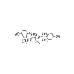 CC(C)(/C=C/C(C)(C)c1ccc(O)cc1)C(=O)Nc1ccc(O)cc1C(=O)O